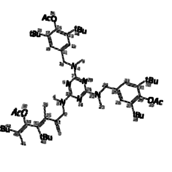 C=C(CN(C)c1nc(N(C)Cc2cc(C(C)(C)C)c(OC(C)=O)c(C(C)(C)C)c2)nc(N(C)Cc2cc(C(C)(C)C)c(OC(C)=O)c(C(C)(C)C)c2)n1)/C(C)=C(/C(OC(C)=O)=C(\C)C(C)(C)C)C(C)(C)C